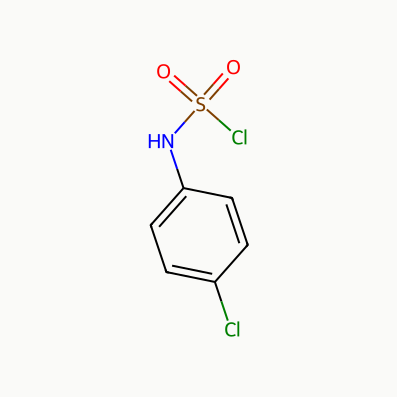 O=S(=O)(Cl)Nc1ccc(Cl)cc1